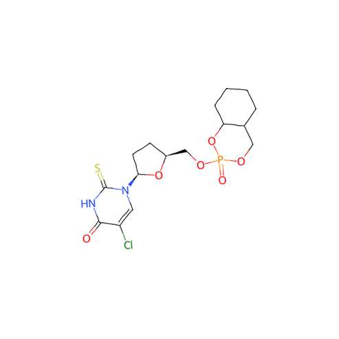 O=c1[nH]c(=S)n([C@H]2CC[C@@H](COP3(=O)OCC4CCCCC4O3)O2)cc1Cl